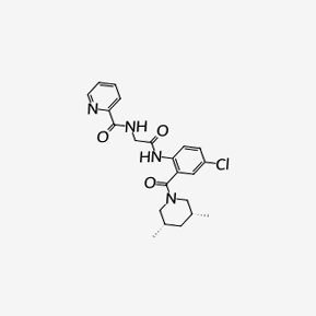 C[C@@H]1C[C@H](C)CN(C(=O)c2cc(Cl)ccc2NC(=O)CNC(=O)c2ccccn2)C1